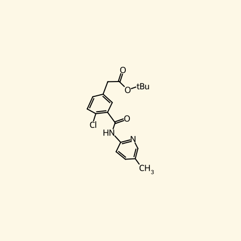 Cc1ccc(NC(=O)c2cc(CC(=O)OC(C)(C)C)ccc2Cl)nc1